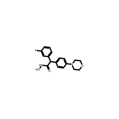 O=C(NO)C(c1ccc(N2CCOCC2)cc1)c1cccc(F)c1